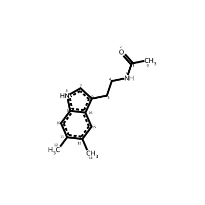 CC(=O)NCCc1c[nH]c2cc(C)c(C)cc12